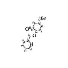 CC(C)(C)c1ccc(OCc2ccccn2)c(Cl)c1